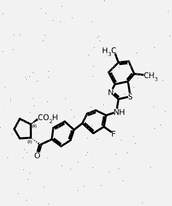 Cc1cc(C)c2sc(Nc3ccc(-c4ccc(C(=O)[C@@H]5CCC[C@H]5C(=O)O)cc4)cc3F)nc2c1